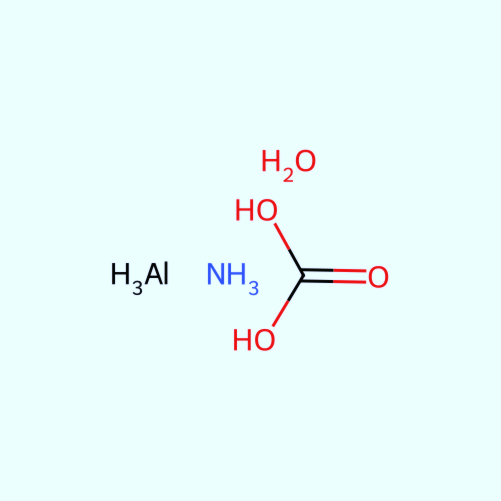 N.O.O=C(O)O.[AlH3]